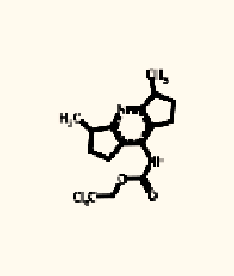 CC1CCc2c1nc1c(c2NC(=O)OCC(Cl)(Cl)Cl)CCC1C